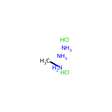 CN.Cl.Cl.N.N